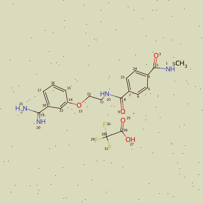 CNC(=O)c1ccc(C(=O)NCCOc2cccc(C(=N)N)c2)cc1.O=C(O)C(F)(F)F